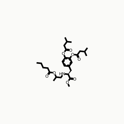 CCCCC(=O)OC(C)CN[C@@H](Cc1ccc(OC(=O)CC(C)C)c(OC(=O)CC(C)C)c1)C(=O)OC